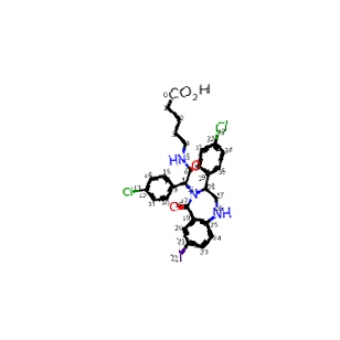 O=C(O)CCCCNC(=O)C(c1ccc(Cl)cc1)N1C(=O)c2cc(I)ccc2NCC1c1ccc(Cl)cc1